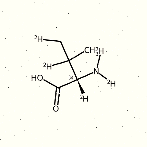 [2H]CC([2H])(C)[C@@]([2H])(C(=O)O)N([2H])[2H]